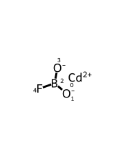 [Cd+2].[O-]B([O-])F